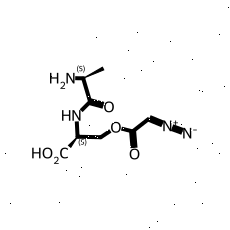 C[C@H](N)C(=O)N[C@@H](COC(=O)C=[N+]=[N-])C(=O)O